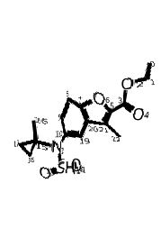 CCOC(=O)c1oc2ccc(N([SH](=O)=O)C3(C)CC3)cc2c1C